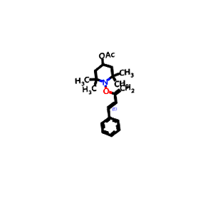 C=C(/C=C/c1ccccc1)ON1C(C)(C)CC(OC(C)=O)CC1(C)C